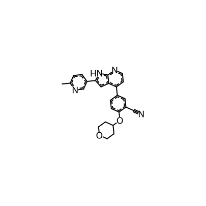 Cc1ccc(-c2cc3c(-c4ccc(OC5CCOCC5)c(C#N)c4)ccnc3[nH]2)cn1